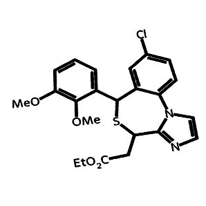 CCOC(=O)CC1SC(c2cccc(OC)c2OC)c2cc(Cl)ccc2-n2ccnc21